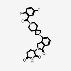 O=C1CCC(N2Cc3c(cccc3N3CC4(CCN(C(=O)c5cc(F)ccc5F)CC4)C3)C2=O)C(=O)N1